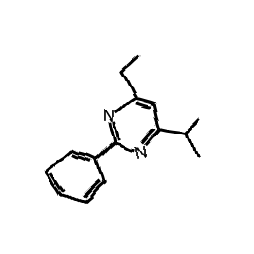 CCc1cc(C(C)C)nc(-c2ccccc2)n1